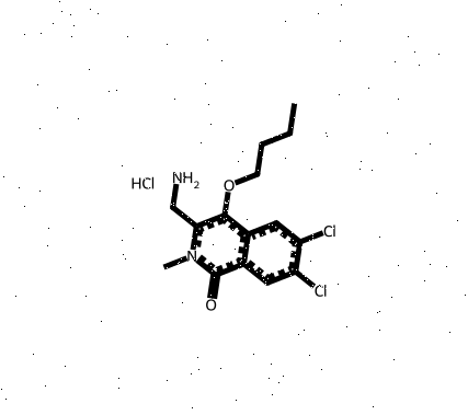 CCCCOc1c(CN)n(C)c(=O)c2cc(Cl)c(Cl)cc12.Cl